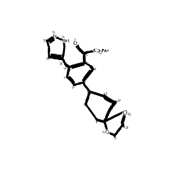 COC(=O)c1cc(C2CCC3(CC2)OCCO3)ccc1-c1ccn[nH]1